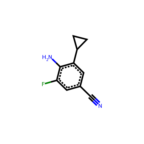 N#Cc1cc(F)c(N)c(C2CC2)c1